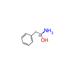 N[C@@H](O)[CH]c1ccccc1